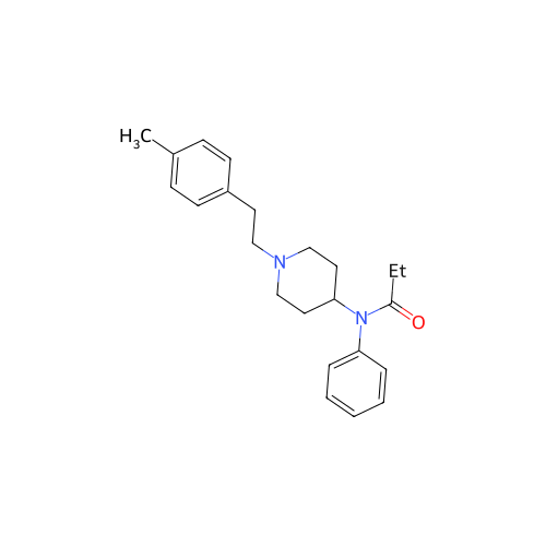 CCC(=O)N(c1ccccc1)C1CCN(CCc2ccc(C)cc2)CC1